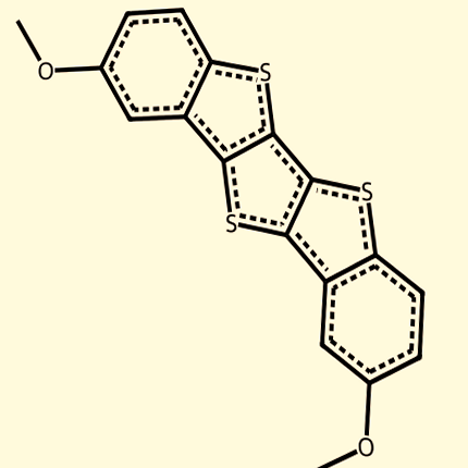 COc1ccc2sc3c(sc4c5cc(OC)ccc5sc43)c2c1